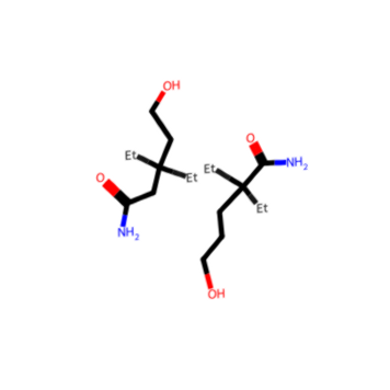 CCC(CC)(CCCO)C(N)=O.CCC(CC)(CCO)CC(N)=O